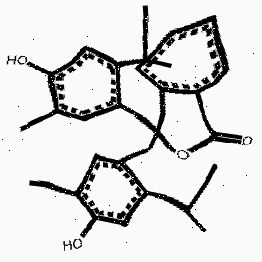 Cc1cc(C2(c3cc(C)c(O)cc3C(C)C)OC(=O)c3ccccc32)c(C(C)C)cc1O